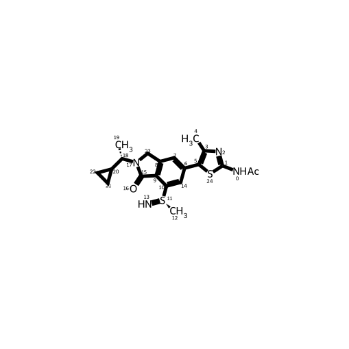 CC(=O)Nc1nc(C)c(-c2cc3c(c([S@](C)=N)c2)C(=O)N([C@@H](C)C2CC2)C3)s1